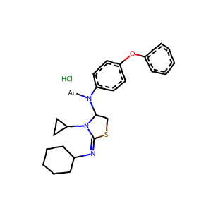 CC(=O)N(c1ccc(Oc2ccccc2)cc1)C1CSC(=NC2CCCCC2)N1C1CC1.Cl